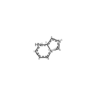 c1c[nH]c2cnc[n+]-2c1